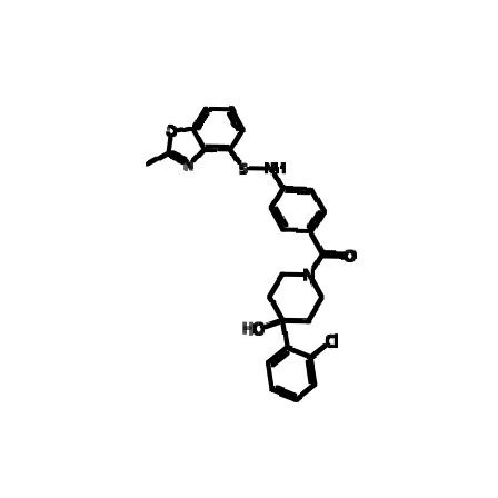 Cc1nc2c(SNc3ccc(C(=O)N4CCC(O)(c5ccccc5Cl)CC4)cc3)cccc2o1